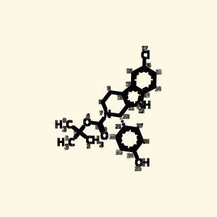 CC(C)(C)OC(=O)N1CCc2c([nH]c3ccc(Cl)cc23)[C@@H]1c1ccc(O)cc1